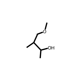 CO[CH]C(C)C(C)O